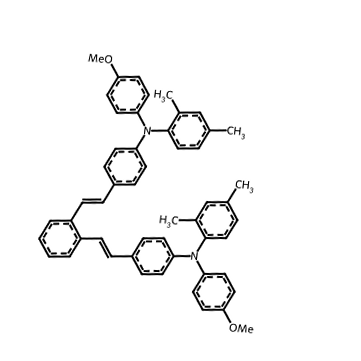 COc1ccc(N(c2ccc(C=Cc3ccccc3C=Cc3ccc(N(c4ccc(OC)cc4)c4ccc(C)cc4C)cc3)cc2)c2ccc(C)cc2C)cc1